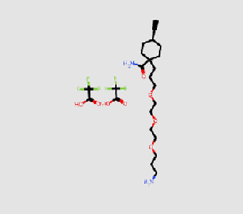 C#CC1CCC(CCCOCCOCCOCCCN)(C(N)=O)CC1.O=C(O)C(F)(F)F.O=C(O)C(F)(F)F